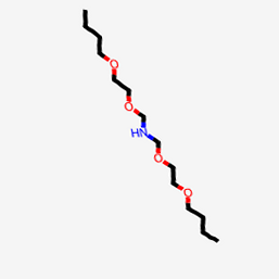 CCCCOCCOCNCOCCOCCCC